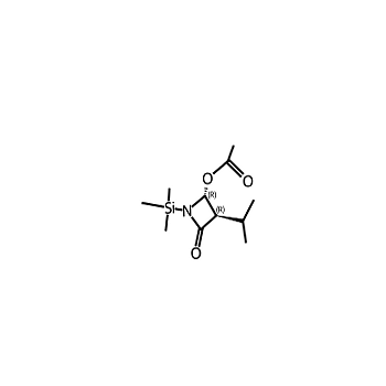 CC(=O)O[C@@H]1[C@@H](C(C)C)C(=O)N1[Si](C)(C)C